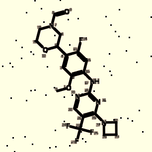 COc1cc(C2CN(C=O)CCO2)c(F)cc1Nc1ncc(C(F)(F)F)c(N2CCC2)n1